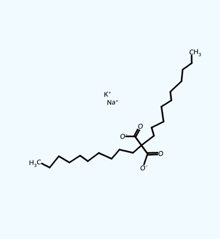 CCCCCCCCCCC(CCCCCCCCCC)(C(=O)[O-])C(=O)[O-].[K+].[Na+]